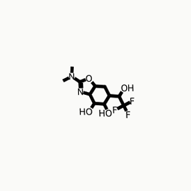 CN(C)C1=NC2C(CC(C(O)C(F)(F)F)C(O)C2O)O1